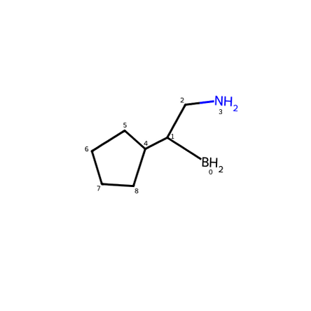 BC(CN)C1CCCC1